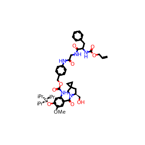 C=CCOC(=O)NC(Cc1ccccc1)C(=O)NCC(=O)Nc1ccc(COC(=O)Nc2cc(O[Si](C(C)C)(C(C)C)C(C)C)c(OC)cc2C(=O)N2CC3(CC3)C[C@H]2CO)cc1